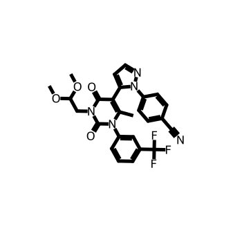 COC(Cn1c(=O)c(-c2ccnn2-c2ccc(C#N)cc2)c(C)n(-c2cccc(C(F)(F)F)c2)c1=O)OC